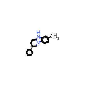 Cc1ccc2c(c1)NC1CC[C@H](c3ccccc3)CN21